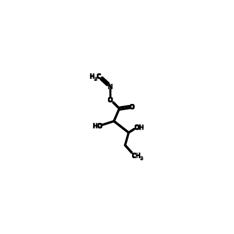 C=NOC(=O)C(O)C(O)CC